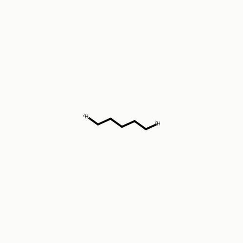 [2H]CCCCC[2H]